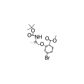 COC(=O)c1ccc(Br)cc1OC[C@H](C)NC(=O)OC(C)(C)C